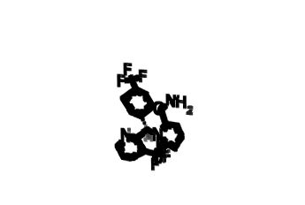 NC(=O)c1cccc(=O)n1[C@@H](c1ccc(C(F)(F)F)cc1)c1ncccc1C(F)(F)F